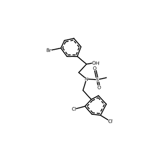 CS(=O)(=O)N(Cc1ccc(Cl)cc1Cl)CC(O)c1cccc(Br)c1